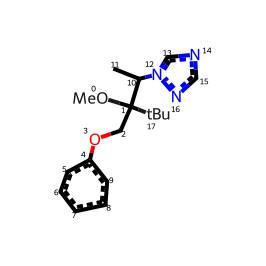 COC(COc1ccccc1)(C(C)n1cncn1)C(C)(C)C